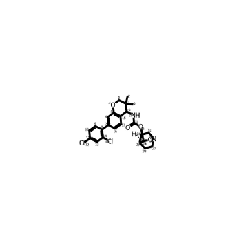 CC1(C)COc2cc(-c3ccc(Cl)cc3Cl)ccc2C1NC(=O)O[C@H]1CN2CCC1CC2